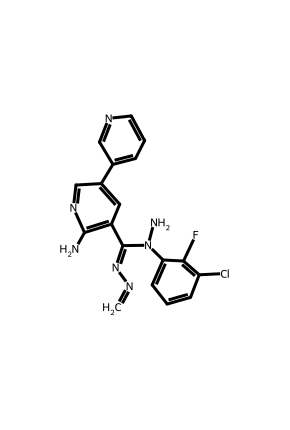 C=N/N=C(/c1cc(-c2cccnc2)cnc1N)N(N)c1cccc(Cl)c1F